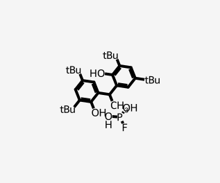 CC(c1cc(C(C)(C)C)cc(C(C)(C)C)c1O)c1cc(C(C)(C)C)cc(C(C)(C)C)c1O.OP(O)F